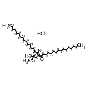 CCCCCCCCCCCCCCCC(=O)N(CC(C)(O)CC)C(=O)CCCCCCCCCCCCCCC.Cl